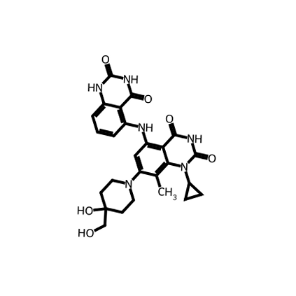 Cc1c(N2CCC(O)(CO)CC2)cc(Nc2cccc3[nH]c(=O)[nH]c(=O)c23)c2c(=O)[nH]c(=O)n(C3CC3)c12